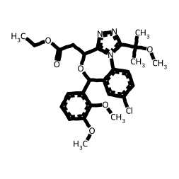 CCOC(=O)CC1OC(c2cccc(OC)c2OC)c2cc(Cl)ccc2-n2c1nnc2C(C)(C)OC